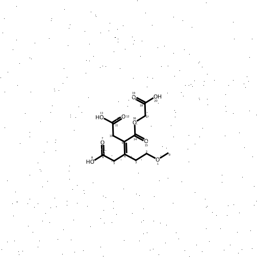 COCCC(CC(=O)O)=C(CC(=O)O)C(=O)OCC(=O)O